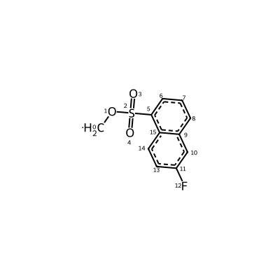 [CH2]OS(=O)(=O)c1cccc2cc(F)ccc12